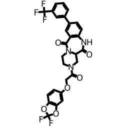 O=C1Nc2ccc(-c3cccc(C(F)(F)F)c3)cc2C(=O)N2CCN(C(=O)COc3ccc4c(c3)OC(F)(F)O4)CC12